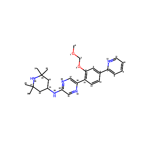 COCOc1cc(-c2ccccn2)ccc1-c1cnc(NC2CC(C)(C)NC(C)(C)C2)cn1